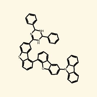 c1ccc(C2N=C(c3ccc4sc5cccc(-c6cccc7c6oc6ccc(-n8c9ccccc9c9ccccc98)cc67)c5c4c3)NC(c3ccccc3)N2)cc1